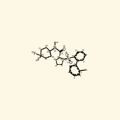 Cc1ccccc1-c1ccccc1S(=O)(=O)N1CCC[C@H]1C(=O)N(C)C1CCC(F)(F)CC1